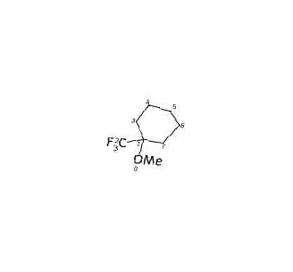 COC1(C(F)(F)F)CCCCC1